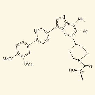 COc1ccc(-c2ccc(-c3cnn4c(N)c(C(C)=O)c(C5CCN(C(=O)[C@@H](C)O)CC5)nc34)cn2)cc1OC